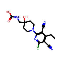 CCc1c(C#N)c(Cl)nc(N2CCC(O)(CNC(=O)O)CC2)c1C#N